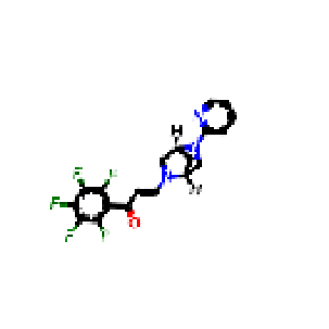 O=C(/C=C/N1C[C@H]2C[C@@H]1CN2c1ccccn1)c1c(F)c(F)c(F)c(F)c1F